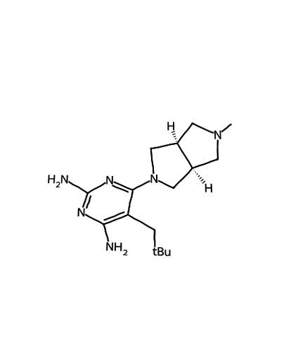 CN1C[C@@H]2CN(c3nc(N)nc(N)c3CC(C)(C)C)C[C@@H]2C1